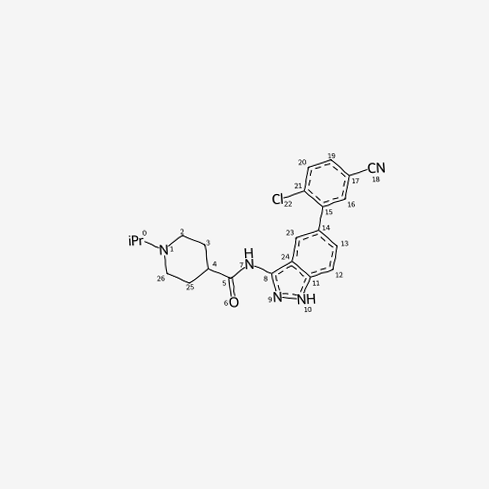 CC(C)N1CCC(C(=O)Nc2n[nH]c3ccc(-c4cc(C#N)ccc4Cl)cc23)CC1